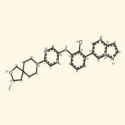 C[C@H]1CC2(CCN(c3cnc(Sc4cccc(-c5cnc6ccnn6c5)c4Cl)cn3)CC2)CO1